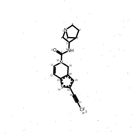 O=C(NC1CN2CCC1C2)N1C=Cc2sc(C#CC(F)(F)F)cc2C1